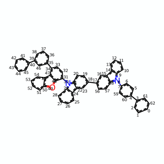 c1ccc(-c2ccc(-n3c4ccccc4c4cc(-c5ccc6c(c5)c5ccccc5n6-c5ccc(-c6cccc(-c7ccccc7)c6)c6c5oc5ccccc56)ccc43)cc2)cc1